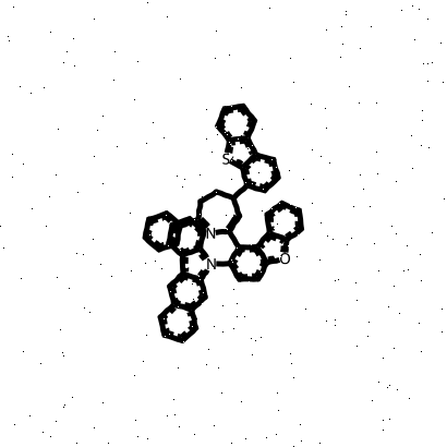 C1=C(c2c(-n3c4ccccc4c4cc5ccccc5cc43)ccc3oc4ccccc4c23)N=C(c2ccccc2)CCC1c1cccc2c1sc1ccccc12